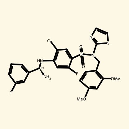 COc1ccc(CN(c2nccs2)S(=O)(=O)c2cc(Cl)c(N[C@@H](N)c3cccc(F)c3)cc2F)c(OC)c1